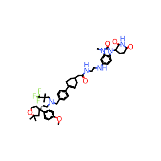 COc1ccc([C@]2(CCN(Cc3ccc(C4=CCC(CC(=O)NCCNc5ccc6c(c5)n(C)c(=O)n6C5CCC(=O)NC5=O)CC4)cc3)CC(C)(C)C(F)(F)F)CCOC(C)(C)C2)cc1